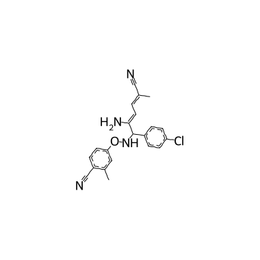 C/C(C#N)=C\C=C(/N)C(NOc1ccc(C#N)c(C)c1)c1ccc(Cl)cc1